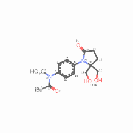 CCC(C)C(=O)N(C(=O)O)c1ccc(N2C(=O)CCC2(CO)CO)cc1